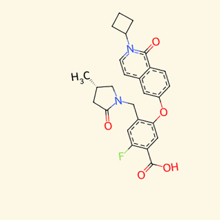 C[C@H]1CC(=O)N(Cc2cc(F)c(C(=O)O)cc2Oc2ccc3c(=O)n(C4CCC4)ccc3c2)C1